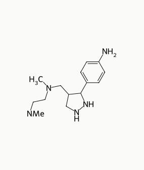 CNCCN(C)CC1CNNC1c1ccc(N)cc1